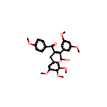 COc1ccc(C(=O)/C(Cc2cc(OC)c(OC)c(OC)c2)=C(/C(=O)O)c2cc(OC)cc(OC)c2)cc1